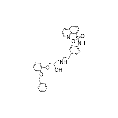 O=S(=O)(Nc1ccc(CCNCC(O)COc2ccccc2OCc2ccccc2)cc1)c1cccc2cccnc12